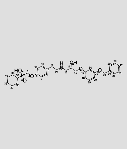 O=P(O)(COc1ccc(CCNC[C@H](O)COc2cccc(OCc3ccccc3)c2)cc1)C1CCCCC1